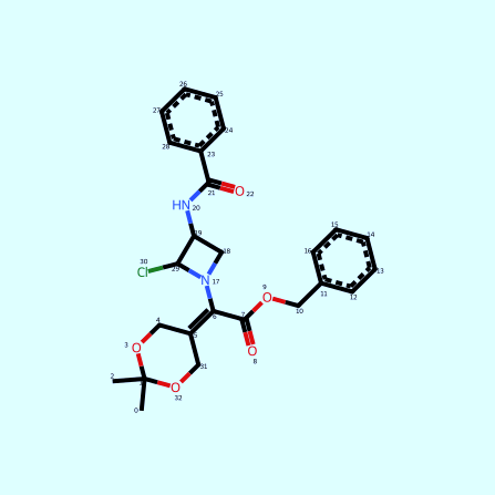 CC1(C)OCC(=C(C(=O)OCc2ccccc2)N2CC(NC(=O)c3ccccc3)C2Cl)CO1